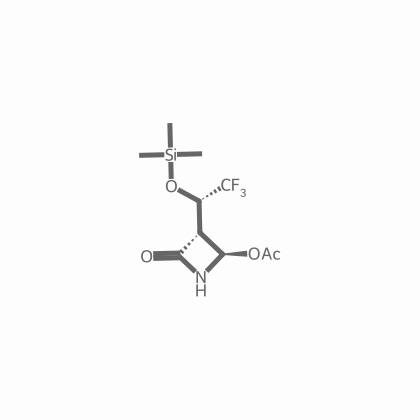 CC(=O)O[C@H]1NC(=O)[C@@H]1[C@H](O[Si](C)(C)C)C(F)(F)F